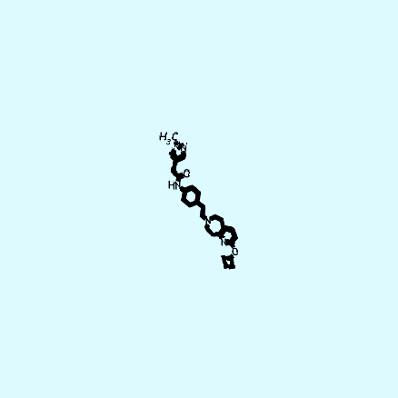 Cn1cc(CC(=O)NC2CCC(CCN3CCc4ccc(OC5CCC5)nc4CC3)CC2)cn1